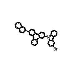 Brc1ccc2c(c1)c1ccccc1n2-c1ccc2c3ccc(-c4ccc5ccccc5c4)cc3c3ccccc3c2c1